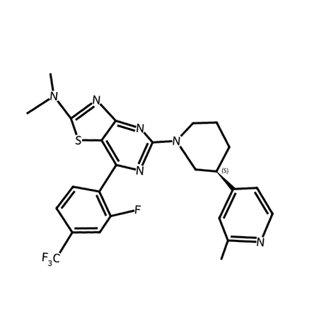 Cc1cc([C@@H]2CCCN(c3nc(-c4ccc(C(F)(F)F)cc4F)c4sc(N(C)C)nc4n3)C2)ccn1